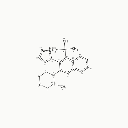 C[C@@H]1COCCN1c1nc2cnccc2c(C(C)(C)O)c1-c1ccn[nH]1